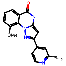 COc1cccc2c(=O)[nH]c3cc(-c4ccnc(C(F)(F)F)c4)nn3c12